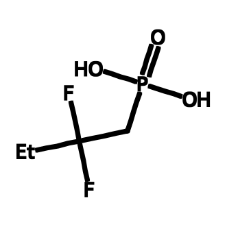 CCC(F)(F)CP(=O)(O)O